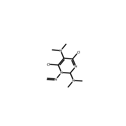 C=NN1C(Cl)=C(N(C)C)C(Cl)=NC1N(C)C